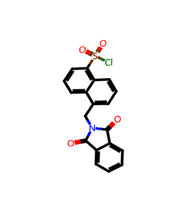 O=C1c2ccccc2C(=O)N1Cc1cccc2c(S(=O)(=O)Cl)cccc12